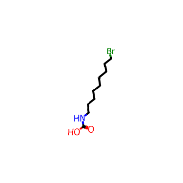 O=C(O)NCCCCCCCCCBr